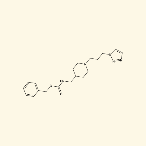 O=C(NCC1CCN(CCCn2ccnn2)CC1)OCc1ccccc1